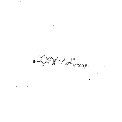 CCOC(=O)C=CC(=O)OCCCC(=O)Oc1ccc(Br)cc1